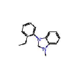 CCc1ccccc1N1CN(C)c2ccccc21